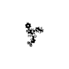 O=C(Nc1nc(-n2ccc(C(F)(F)F)n2)nc2c1cnn2-c1ccccc1)c1ccc([N+](=O)[O-])s1